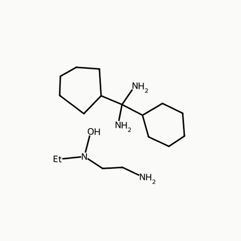 CCN(O)CCN.NC(N)(C1CCCCC1)C1CCCCC1